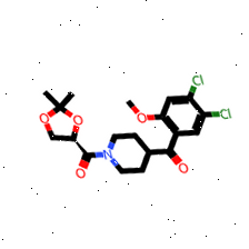 COc1cc(Cl)c(Cl)cc1C(=O)C1CCN(C(=O)[C@H]2COC(C)(C)O2)CC1